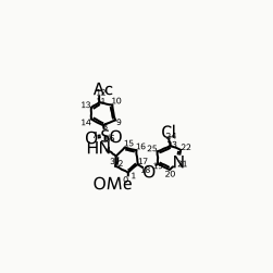 COc1cc(NS(=O)(=O)c2ccc(C(C)=O)cc2)ccc1Oc1cncc(Cl)c1